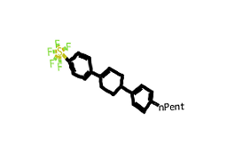 CCCCCc1ccc(C2CC=C(c3ccc(S(F)(F)(F)(F)F)cc3)CC2)cc1